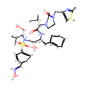 Cc1nc(CN2CCN([C@H](C(=O)N[C@@H](Cc3ccccc3)[C@H](O)CN([C@@H](CO)C(C)C)S(=O)(=O)c3ccc(C=NO)cc3)C(C)C)C2=O)cs1